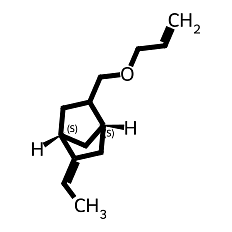 C=CCOCC1C[C@@H]2C[C@H]1CC2=CC